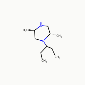 CCC(CC)N1C[C@@H](C)NC[C@@H]1C